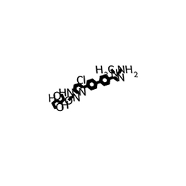 Cn1c(-c2ccc(-c3ccc(-c4nc5nc(OC6CO[C@@H]7CCO[C@H]67)[nH]c5cc4Cl)cc3)cc2)cnc1N